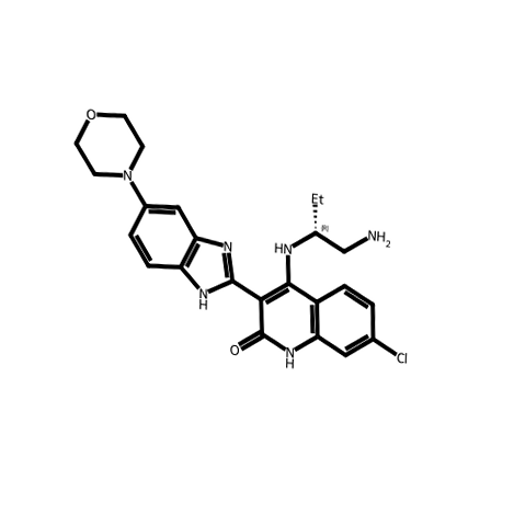 CC[C@H](CN)Nc1c(-c2nc3cc(N4CCOCC4)ccc3[nH]2)c(=O)[nH]c2cc(Cl)ccc12